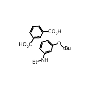 CCNc1cccc(OC(C)(C)C)c1.O=C(O)c1cccc(C(=O)O)c1